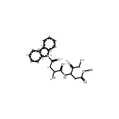 CC(C)OC(=O)CC(NC(=O)C(CC(=O)n1c2ccccc2c2ccccc21)C(C)C)C(=O)CF